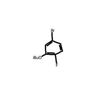 CC(C)COc1cc(Br)ccc1F